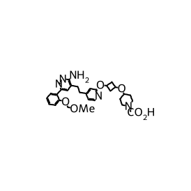 COCOc1ccccc1-c1cc(CCc2ccnc(OC3CC(OC4CCN(C(=O)O)CC4)C3)c2)c(N)nn1